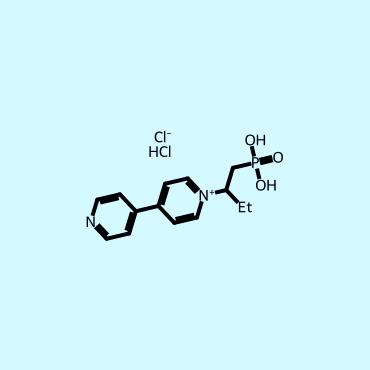 CCC(CP(=O)(O)O)[n+]1ccc(-c2ccncc2)cc1.Cl.[Cl-]